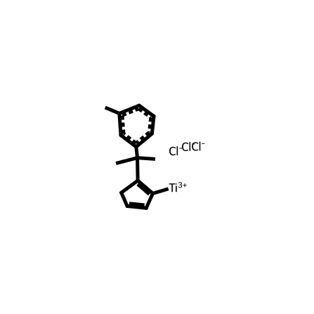 Cc1cccc(C(C)(C)C2=[C]([Ti+3])C=CC2)c1.[Cl-].[Cl-].[Cl-]